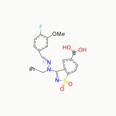 COc1cc(/C=N/N(CC(C)C)C2=NS(=O)(=O)c3ccc(B(O)O)cc32)ccc1F